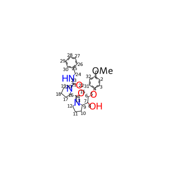 COc1ccc(OC[C@@H](O)C2CCCN2C(=O)[C@@H]2CCCN2C(=O)NCc2ccccc2)cc1